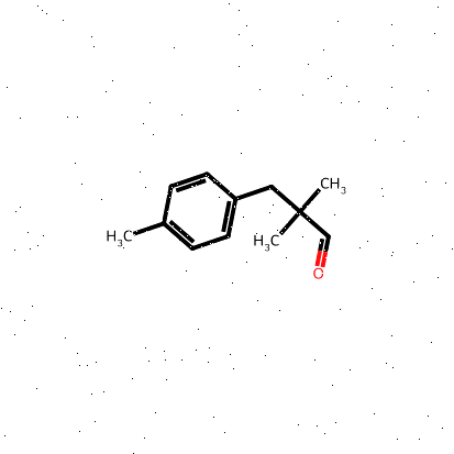 Cc1ccc(CC(C)(C)C=O)cc1